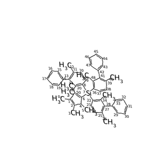 CC1=C(C)C(C)C([Si](c2ccc(C)c(-c3ccccc3)c2C)(c2ccc(C)c(-c3ccccc3)c2C)c2ccc(C)c(-c3ccccc3)c2C)=C1C